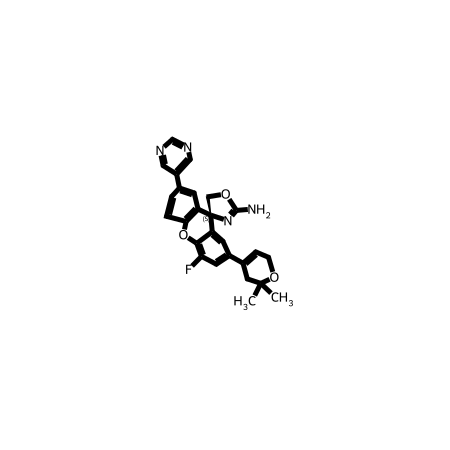 CC1(C)CC(c2cc(F)c3c(c2)[C@]2(COC(N)=N2)c2cc(-c4cncnc4)ccc2O3)=CCO1